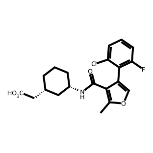 Cc1occ(-c2c(F)cccc2Cl)c1C(=O)N[C@H]1CCC[C@@H](CC(=O)O)C1